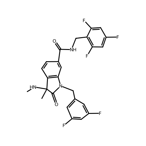 CNC1(C)C(=O)N(Cc2cc(F)cc(F)c2)c2cc(C(=O)NCc3c(F)cc(F)cc3F)ccc21